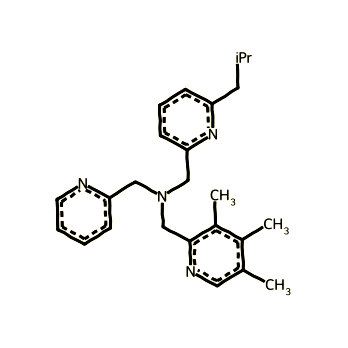 Cc1cnc(CN(Cc2ccccn2)Cc2cccc(CC(C)C)n2)c(C)c1C